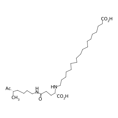 CC(=O)[C@@H](C)CCCCNC(=O)CC[C@H](NCCCCCCCCCCCCCCCCCC(=O)O)C(=O)O